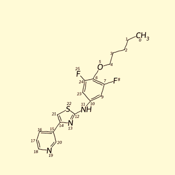 CCCCCOc1c(F)cc(Nc2nc(-c3cccnc3)cs2)cc1F